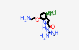 CNC(N)=NC(=O)c1cc2c(Cl)ccc(OCCN)c2[nH]1.Cl.Cl